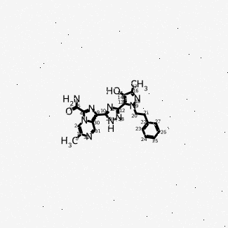 Cc1cn2c(C(N)=O)nc(-c3nc(-c4c(O)c(C)nn4CCc4ccccc4)n[nH]3)c2cn1